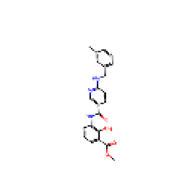 COC(=O)c1cccc(NC(=O)c2ccc(NCc3cccc(C)c3)nc2)c1O